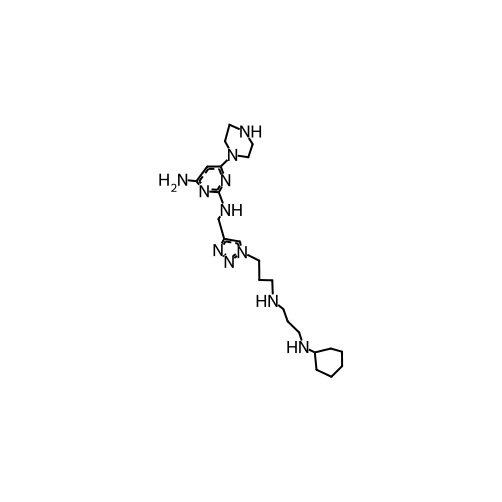 Nc1cc(N2CCNCC2)nc(NCc2cn(CCCNCCCNC3CCCCC3)nn2)n1